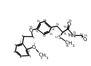 COc1ccccc1CCOc1ccc(CC(SC)C(=O)NC=O)cc1